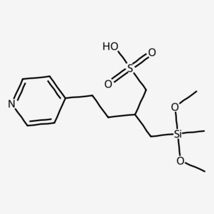 CO[Si](C)(CC(CCc1ccncc1)CS(=O)(=O)O)OC